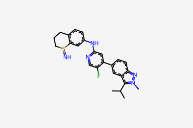 CC(C)c1c2cc(-c3cc(Nc4ccc5c(c4)S(=N)CCC5)ncc3F)ccc2nn1C